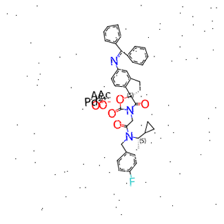 CC(=O)[O-].CC(=O)[O-].C[C@@H](C1CC1)N(Cc1ccc(F)cc1)C(=O)CN1C(=O)O[C@]2(CCc3cc(N=C(c4ccccc4)c4ccccc4)ccc32)C1=O.[Pd+2]